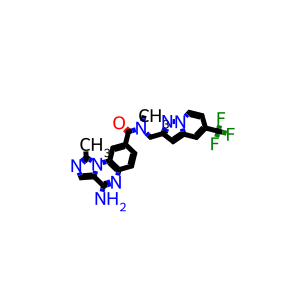 Cc1ncc2c(N)nc3ccc(C(=O)N(C)Cc4cc5cc(C(F)(F)F)ccn5n4)cc3n12